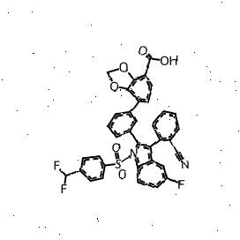 N#Cc1ccccc1-c1c(-c2cccc(-c3ccc(C(=O)O)c4c3OCO4)c2)n(S(=O)(=O)c2ccc(C(F)F)cc2)c2ccc(F)cc12